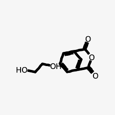 O=C1OC(=O)c2cccc1c2.OCCO